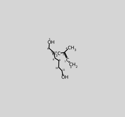 C=C=C(C)C.OCCCCCCO